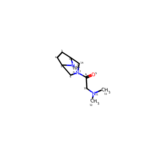 CCCN1C2CCC1CN(C(=O)CN(C)C)C2